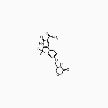 NC(=O)c1cc(-c2ccc(OCC3COCC(=O)N3)cc2)c(C(F)(F)F)[nH]c1=O